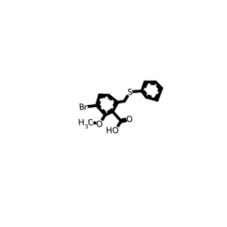 COc1c(Br)ccc(CSc2ccccc2)c1C(=O)O